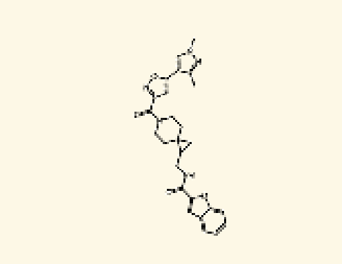 Cc1nn(C)cc1-c1cc(C(=O)N2CCC3(CC2)CC3CNC(=O)c2cc3ccccc3o2)no1